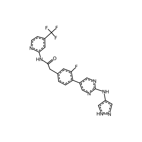 O=C(Cc1ccc(-c2cnc(Nc3cn[nH]c3)nc2)c(F)c1)Nc1cc(C(F)(F)F)ccn1